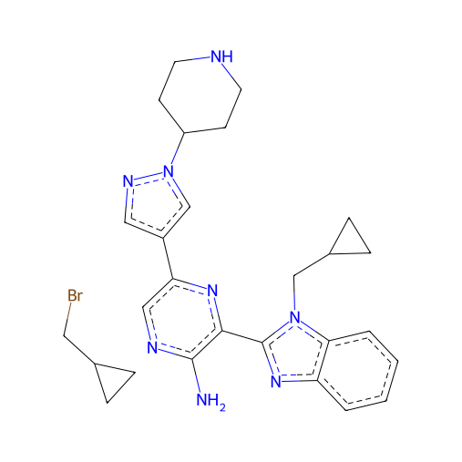 BrCC1CC1.Nc1ncc(-c2cnn(C3CCNCC3)c2)nc1-c1nc2ccccc2n1CC1CC1